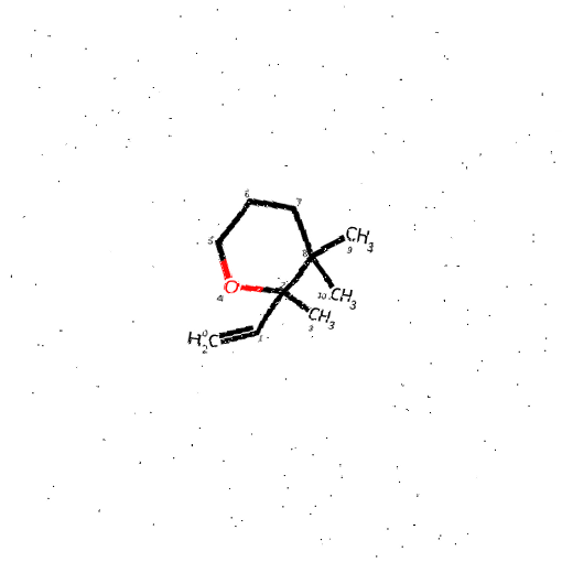 C=CC1(C)OCCCC1(C)C